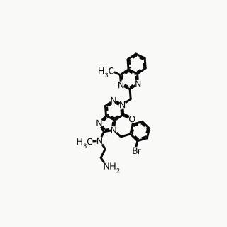 Cc1nc(Cn2ncc3nc(N(C)CCN)n(Cc4ccccc4Br)c3c2=O)nc2ccccc12